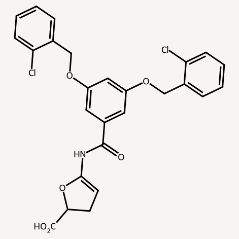 O=C(NC1=CCC(C(=O)O)O1)c1cc(OCc2ccccc2Cl)cc(OCc2ccccc2Cl)c1